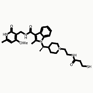 COc1cc(C)[nH]c(=O)c1CNC(=O)c1c(C)n([C@H](C)C2CCN(CCNC(=O)CCS)CC2)c2ccccc12